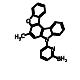 Bc1cccc(-n2c3ccccc3c3c4c(oc5ccccc54)c(C)cc32)n1